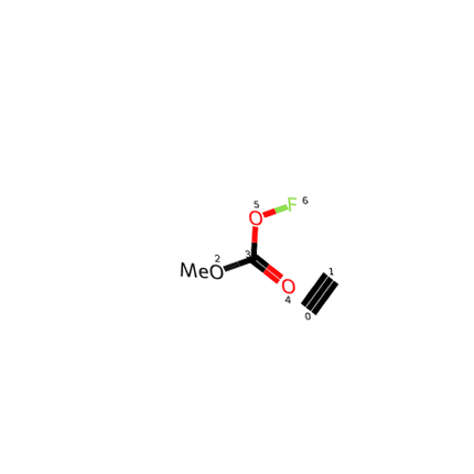 C#C.COC(=O)OF